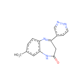 O=C1CC(c2ccnnc2)=Nc2ccc(C(=O)O)cc2N1